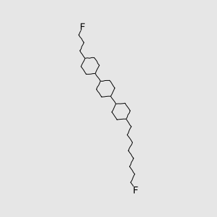 FCCCCCCCCC1CCC(C2CCC(C3CCC(CCCF)CC3)CC2)CC1